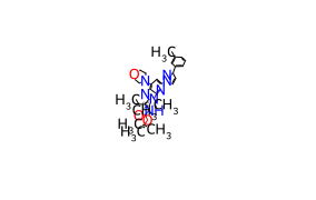 Cc1cccc(-c2ccn(-c3cc(N4CCOCC4)c4nc([C@@H](NC(=O)OC(C)(C)C)C(C)C)n(C)c4n3)n2)c1